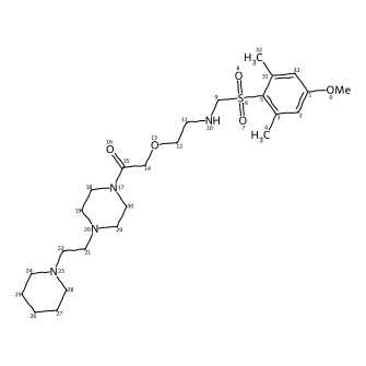 COc1cc(C)c(S(=O)(=O)CNCCOCC(=O)N2CCN(CCN3CCCCC3)CC2)c(C)c1